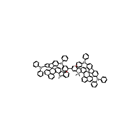 Cn1c2ccccc2c2ccc3c(c21)-c1cccc2cccc(c12)C31c2cc(N(c3ccccc3)c3ccccc3)ccc2-c2ccc(N(c3ccccc3)c3cccc(-c4ccc5c(c4)[Si](C)(C)c4c-5ccc5c4-c4cccc6cccc(c46)C54c5cc(N(c6ccccc6)c6ccccc6)ccc5-c5ccc(N(c6ccccc6)c6ccccc6)cc54)c3)cc21